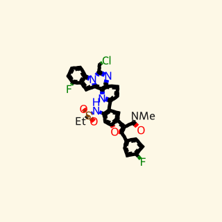 CCS(=O)(=O)Nc1cc2oc(-c3ccc(F)cc3)c(C(=O)NC)c2cc1-c1ccc2nc(CCl)n3c4cccc(F)c4cc3c2n1